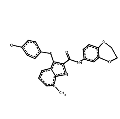 Cn1cccc2c(Sc3ccc(Cl)cc3)c(C(=O)Nc3ccc4c(c3)OCCO4)nc1-2